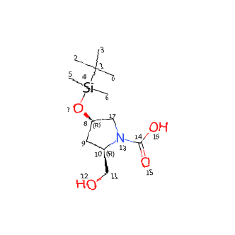 CC(C)(C)[Si](C)(C)O[C@@H]1C[C@H](CO)N(C(=O)O)C1